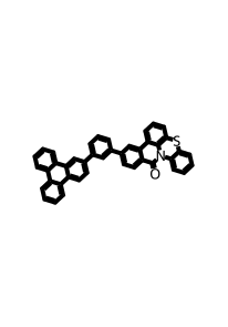 O=c1c2ccc(-c3cccc(-c4ccc5c6ccccc6c6ccccc6c5c4)c3)cc2c2cccc3c2n1-c1ccccc1S3